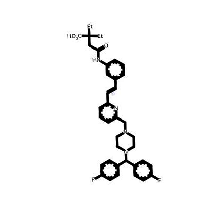 CCC(CC)(CC(=O)Nc1cccc(/C=C/c2cccc(CN3CCN(C(c4ccc(F)cc4)c4ccc(F)cc4)CC3)n2)c1)C(=O)O